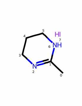 CC1=NCCCN1.I